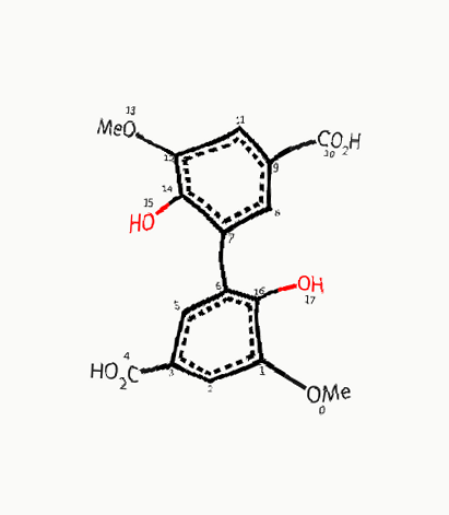 COc1cc(C(=O)O)cc(-c2cc(C(=O)O)cc(OC)c2O)c1O